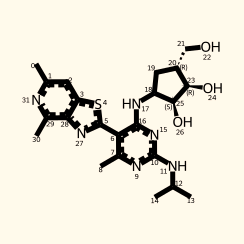 Cc1cc2sc(-c3c(C)nc(NC(C)C)nc3NC3C[C@H](CO)[C@@H](O)[C@H]3O)nc2c(C)n1